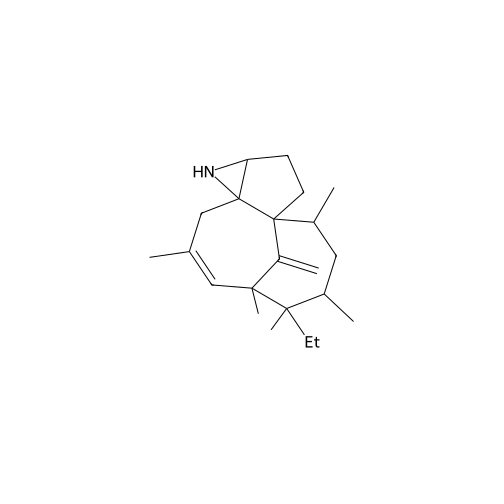 C=C1C2(C)C=C(C)CC34NC3CCC14C(C)CC(C)C2(C)CC